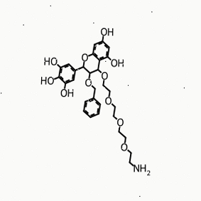 NCCOCCOCCOCCOC1c2c(O)cc(O)cc2OC(c2cc(O)c(O)c(O)c2)C1OCc1ccccc1